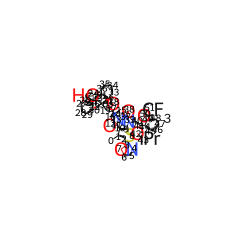 Cc1c(-c2ncco2)sc2c1c(=O)n(C(C)(C)C(=O)CC(C)(C)[Si](O)(c1ccccc1)c1ccccc1)c(=O)n2CC(OC(C)C)c1ccccc1OC(F)(F)F